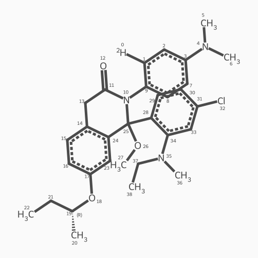 [2H]c1cc(N(C)C)ccc1N1C(=O)Cc2ccc(O[C@H](C)CC)cc2C1(OC)c1ccc(Cl)cc1N(C)CC